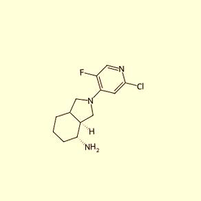 N[C@@H]1CCCC2CN(c3cc(Cl)ncc3F)C[C@H]21